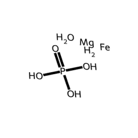 O.O=P(O)(O)O.[Fe].[MgH2]